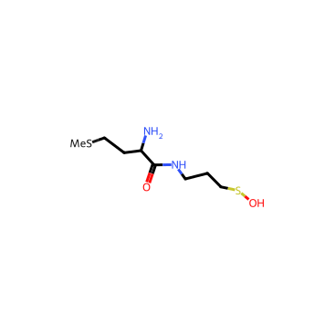 CSCCC(N)C(=O)NCCCSO